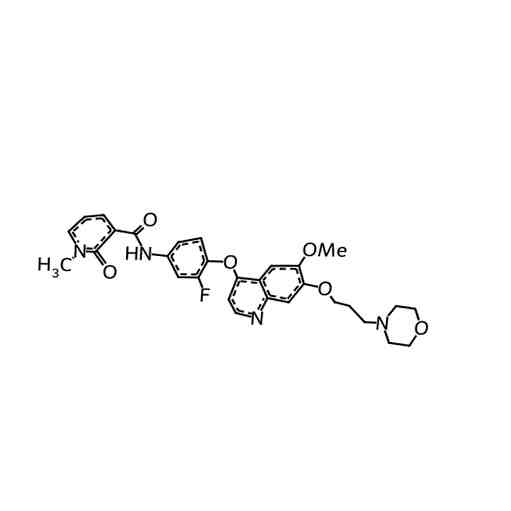 COc1cc2c(Oc3ccc(NC(=O)c4cccn(C)c4=O)cc3F)ccnc2cc1OCCCN1CCOCC1